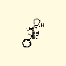 CC(C)(NC(=O)[C@H]1CCCN1)c1ccccc1.Cl